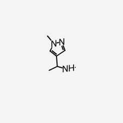 CC([NH])c1cnn(C)c1